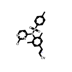 Cc1ccc(S(=O)(=O)N(c2ccnc(Cl)n2)c2c(C)cc(/C=C/C#N)cc2C)cc1